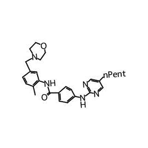 CCCCCc1cnc(Nc2ccc(C(=O)Nc3cc(CN4CCOCC4)ccc3C)cc2)nc1